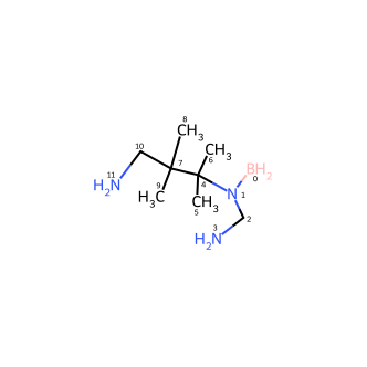 BN(CN)C(C)(C)C(C)(C)CN